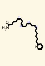 NC(=O)CCC/C=C\C/C=C\C/C=C\C/C=C\CCCCCc1ccccn1